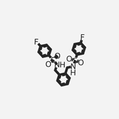 O=S(=O)(NCc1ccccc1CNS(=O)(=O)c1ccc(F)cc1)c1ccc(F)cc1